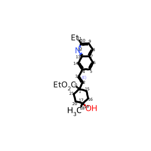 CCOC(=O)C1(/C=C/c2ccc3ccc(CC)nc3c2)CCC(C)(O)CC1